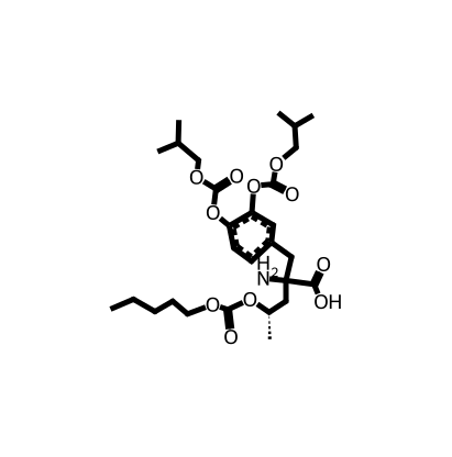 CCCCCOC(=O)O[C@@H](C)CC(N)(Cc1ccc(OC(=O)OCC(C)C)c(OC(=O)OCC(C)C)c1)C(=O)O